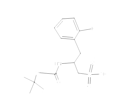 CC(C)(C)OC(=O)NC(Cc1ccccc1F)CS(=O)(=O)O